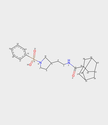 O=C(NCCC1CCN(S(=O)(=O)c2ccccc2)C1)C12CC3CC(CC(C3)C1)C2